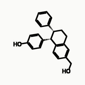 OCc1ccc2c(c1)CC[C@@H](c1ccccc1)[C@H]2c1ccc(O)cc1